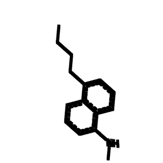 CCCCc1cccc2c(NC)cccc12